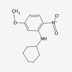 COc1ccc([N+](=O)[O-])c(NC2CCCCC2)c1